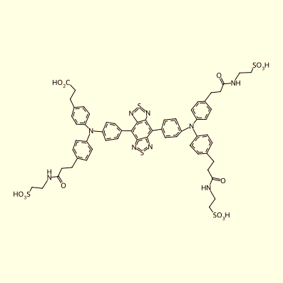 O=C(O)CCc1ccc(N(c2ccc(CCC(=O)NCCS(=O)(=O)O)cc2)c2ccc(-c3c4c(c(-c5ccc(N(c6ccc(CCC(=O)NCCS(=O)(=O)O)cc6)c6ccc(CCC(=O)NCCS(=O)(=O)O)cc6)cc5)c5nsnc35)N=S=N4)cc2)cc1